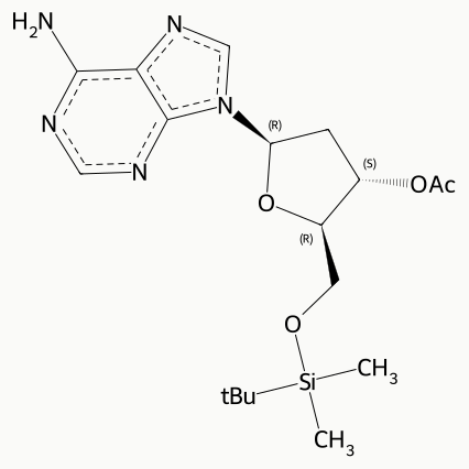 CC(=O)O[C@H]1C[C@H](n2cnc3c(N)ncnc32)O[C@@H]1CO[Si](C)(C)C(C)(C)C